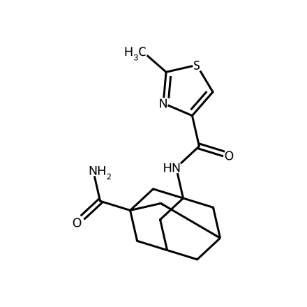 Cc1nc(C(=O)NC23CC4CC(C2)CC(C(N)=O)(C4)C3)cs1